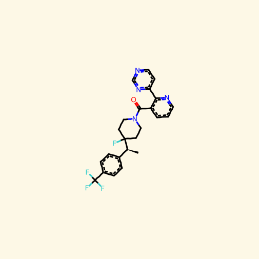 C[C@@H](c1ccc(C(F)(F)F)cc1)C1(F)CCN(C(=O)c2cccnc2-c2ccncn2)CC1